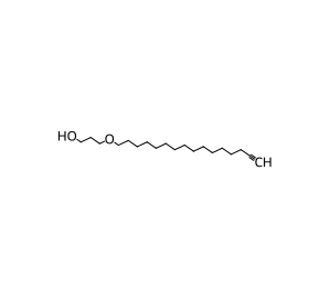 C#CCCCCCCCCCCCCCCOCCCO